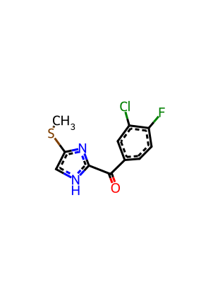 CSc1c[nH]c(C(=O)c2ccc(F)c(Cl)c2)n1